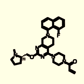 C=CC(=O)N1CCN(c2nc(OC[C@@H]3CCCN3C)nc3c2CCN(c2cccc4cccc(F)c24)C3)CC1